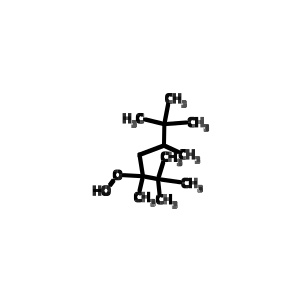 CC(CC(C)(OO)C(C)(C)C)C(C)(C)C